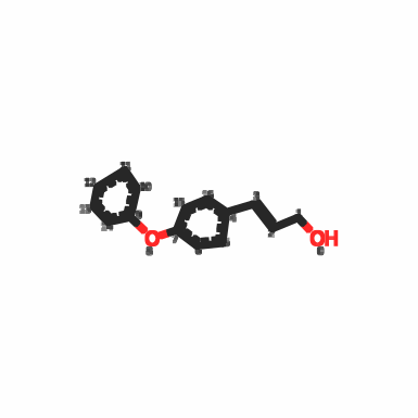 OCC=Cc1ccc(Oc2ccccc2)cc1